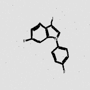 Fc1ccc(-n2cc(I)c3ccc(F)cc32)cc1